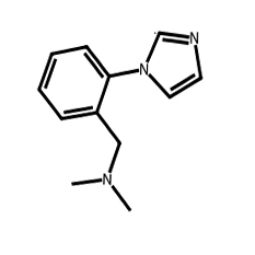 CN(C)Cc1ccccc1-n1[c]ncc1